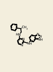 C[C@H](CNc1ccnc(Nc2ccc3nn[nH]c3c2)n1)c1ccccc1